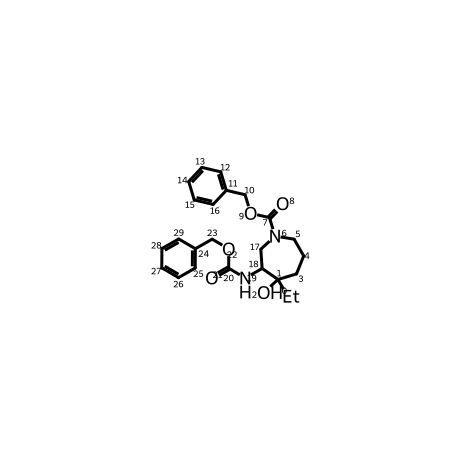 CCC1(O)CCCN(C(=O)OCc2ccccc2)CC1NC(=O)OCc1ccccc1